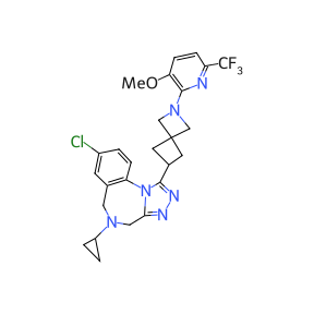 COc1ccc(C(F)(F)F)nc1N1CC2(CC(c3nnc4n3-c3ccc(Cl)cc3CN(C3CC3)C4)C2)C1